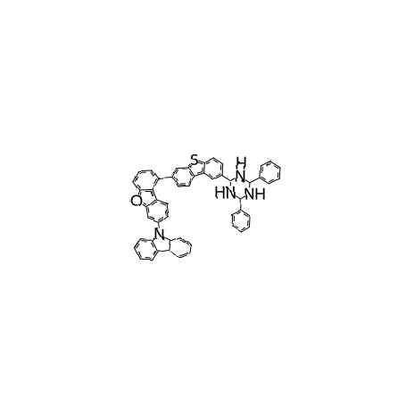 C1=CC2c3ccccc3N(c3ccc4c(c3)oc3cccc(-c5ccc6c(c5)sc5ccc(C7NC(c8ccccc8)NC(c8ccccc8)N7)cc56)c34)C2C=C1